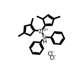 CC1=CC(C)[C]([Zr+2]([C]2=C(C)C=C(C)C2)[SiH](c2ccccc2)c2ccccc2)=C1.[Cl-].[Cl-]